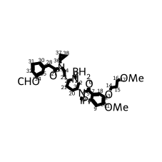 BN1C[C@H](N(C(=O)c2ccc(OC)c(OCCCOC)c2)C(C)C)CC[C@@H]1CCN(C(=O)Cc1cccc(C=O)c1)C1CC1